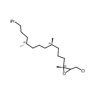 CC(C)CCC[C@@H](C)CCC[C@@H](C)CCC[C@@]1(C)OC1CCl